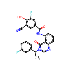 C[C@@H](c1cccc(F)c1)n1cnc2cccc(NC(=O)c3cc(F)c(O)c(C#N)c3)c2c1=O